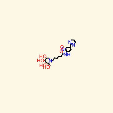 O=[N+]([O-])c1cc(-c2ncccn2)ccc1NCCCCCCN1CC(O)C(O)C(O)[C@@H]1CO